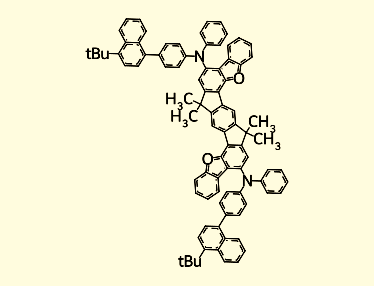 CC(C)(C)c1ccc(-c2ccc(N(c3ccccc3)c3cc4c(c5oc6ccccc6c35)-c3cc5c(cc3C4(C)C)-c3c(cc(N(c4ccccc4)c4ccc(-c6ccc(C(C)(C)C)c7ccccc67)cc4)c4c3oc3ccccc34)C5(C)C)cc2)c2ccccc12